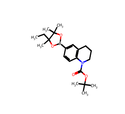 CCC1(C)OB(c2ccc3c(c2)CCCN3C(=O)OC(C)(C)C)OC1(C)C